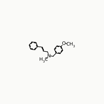 COc1ccc(CN(C)CC=Cc2ccccc2)cc1